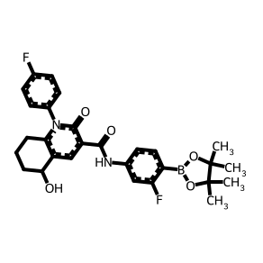 CC1(C)OB(c2ccc(NC(=O)c3cc4c(n(-c5ccc(F)cc5)c3=O)CCCC4O)cc2F)OC1(C)C